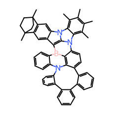 Cc1c(C)c(C)c2c(c1C)n1c3c(c4cc5c(cc4n23)C2(C)CCC5(C)CC2)B2c3ccccc3-n3c4ccccc4c4ccccc4c4ccccc4c4ccc-1c2c43